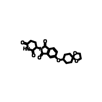 O=C1CCC(N2C(=O)c3ccc(OC4CCC5(CC4)OCCO5)cc3C2=O)C(=O)N1